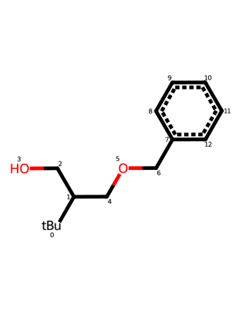 CC(C)(C)C(CO)COCc1ccccc1